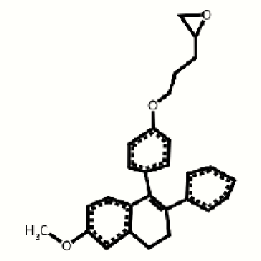 COc1ccc2c(c1)CCC(c1ccccc1)=C2c1ccc(OCCCC2CO2)cc1